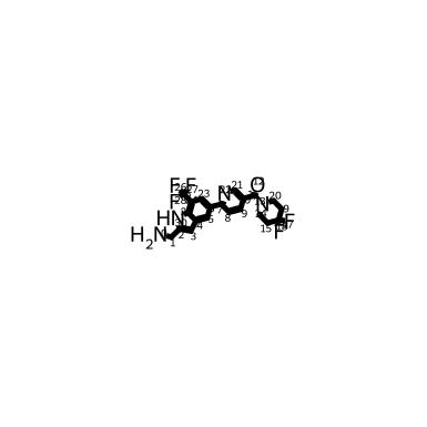 NCc1cc2cc(-c3ccc(C(=O)N4CCC(F)(F)CC4)cn3)cc(C(F)(F)F)c2[nH]1